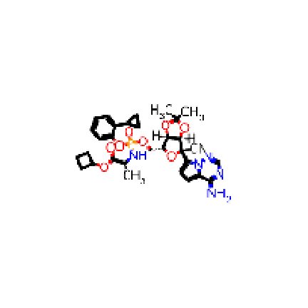 C[C@H](NP(=O)(OC[C@H]1O[C@@](C#N)(c2ccc3c(N)ncnn23)[C@@H]2OC(C)(C)O[C@@H]21)Oc1ccccc1C1CC1)C(=O)OC1CCC1